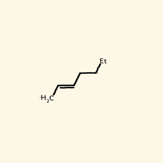 [CH2]C=CC[CH]CC